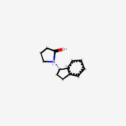 O=C1CCCN1[C@H]1CCc2ccccc21